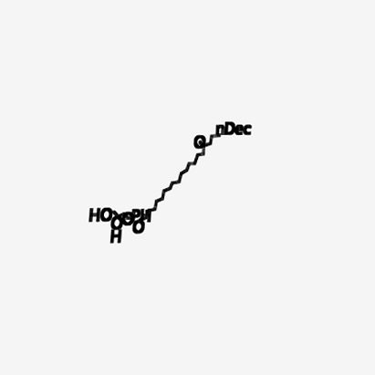 CCCCCCCCCCCCCC(=O)CCCCCCCCCCCCCCCC(=O)POCC(O)CO